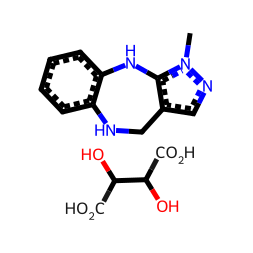 Cn1ncc2c1Nc1ccccc1NC2.O=C(O)C(O)C(O)C(=O)O